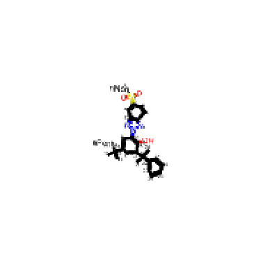 CCCCCCCCCS(=O)(=O)c1ccc2nn(-c3cc(C(C)(C)CCCCC)cc(C(C)(C)c4ccccc4)c3O)nc2c1